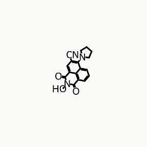 N#Cc1cc2c3c(cccc3c1N1CCCC1)C(=O)N(O)C2=O